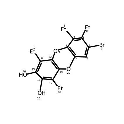 CCc1c(Br)cc2c(c1CC)Oc1c(CC)c(O)c(O)c(CC)c1O2